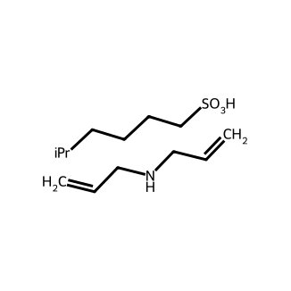 C=CCNCC=C.CC(C)CCCCS(=O)(=O)O